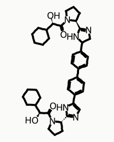 O=C([C@@H](O)C1CCCCC1)N1CCC[C@H]1C1=NCC(c2ccc(-c3ccc(-c4cnc([C@@H]5CCCN5C(=O)[C@@H](O)C5CCCCC5)[nH]4)cc3)cc2)N1